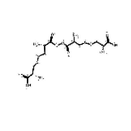 N[C@@H](CSSC[C@H](N)C(=O)OOC(=O)[C@@H](N)CSSC[C@H](N)C(=O)O)C(=O)O